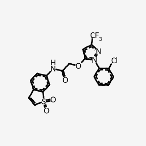 O=C(COc1cc(C(F)(F)F)nn1-c1ccccc1Cl)Nc1ccc2c(c1)S(=O)(=O)C=C2